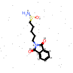 N[S+]([O-])CCCCCN1C(=O)c2ccccc2C1=O